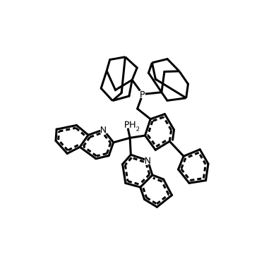 PC(c1ccc2ccccc2n1)(c1ccc2ccccc2n1)c1cc(-c2ccccc2)ccc1CP(C12CC3CC(CC(C3)C1)C2)C12CC3CC(CC(C3)C1)C2